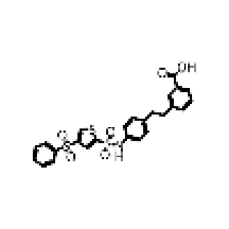 O=C(O)c1cccc(CCc2ccc(NS(=O)(=O)c3cc(S(=O)(=O)c4ccccc4)cs3)cc2)c1